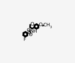 CCOc1ccc2c(c1)OCCC2NS(=O)(=O)c1cccc(F)c1